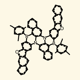 Cc1cc(C)c(B2c3cc4oc5cc6ccccc6cc5c4cc3N3c4cc5ccccc5c5c4N(c4cc6c(cc4B5c4c(C)cc(C)cc4C)oc4cc5ccccc5cc46)c4cc5ccccc5c2c43)c(C)c1